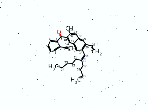 C#Cc1ccccc1C(=O)c1cc2cc(/C=C(/CCCC)CCCCC)c(C=C)cc2cc1C